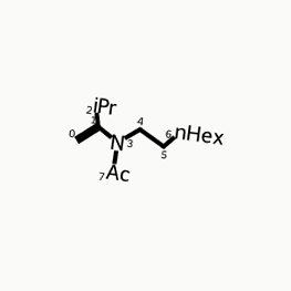 C=C(C(C)C)N(CCCCCCCC)C(C)=O